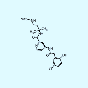 CSNCCC(C)(C)NC(=O)c1cc(NC(=O)Cc2cc(Cl)ccc2O)ccn1